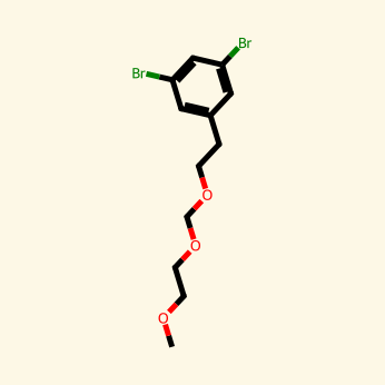 COCCOCOCCc1cc(Br)cc(Br)c1